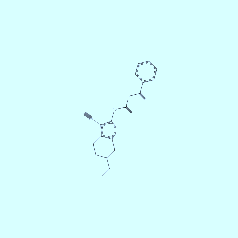 CCC1CCc2c(sc(NC(=S)NC(=O)c3ccccc3)c2C#N)C1